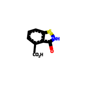 O=C(O)c1cccc2s[nH]c(=O)c12